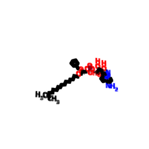 CC(C)CCCCCCCCCCCCCCOC[C@H](COP(=O)(O)OC[C@H]1O[C@@](C#N)(c2ccc3c(N)ccnn23)[C@H](O)[C@@H]1O)OCc1ccccc1